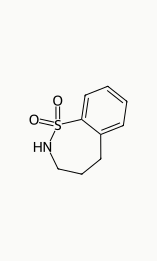 O=S1(=O)NCCCc2ccccc21